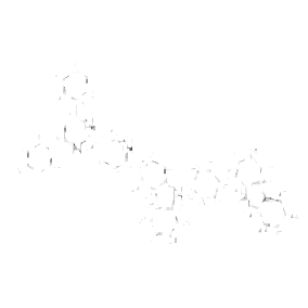 c1ccc(-c2cc(-c3ccccc3)nc(-c3ccc(-c4ccc5c(c4)c4ccccc4n5-c4ccc(-c5cccc6c5oc5ccccc56)cc4)nc3)n2)cc1